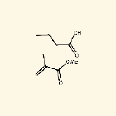 C=C(C)C(=O)OC.CCCC(=O)O